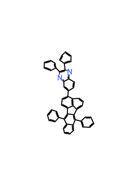 c1ccc(-c2nc3ccc(-c4ccc5c6c(cccc46)-c4c-5c(-c5ccccc5)c5ccccc5c4-c4ccccc4)cc3nc2-c2ccccc2)cc1